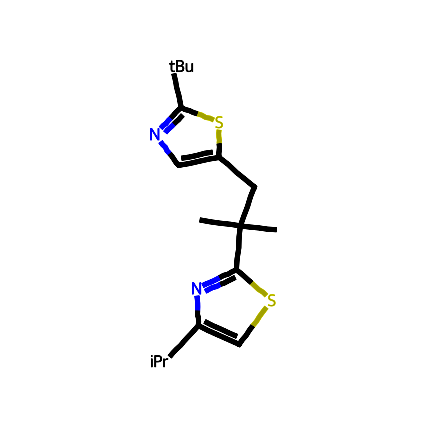 CC(C)c1csc(C(C)(C)Cc2cnc(C(C)(C)C)s2)n1